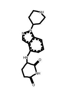 O=C1CCC(Nc2cccc3c2cnn3C2CCNCC2)C(=O)N1